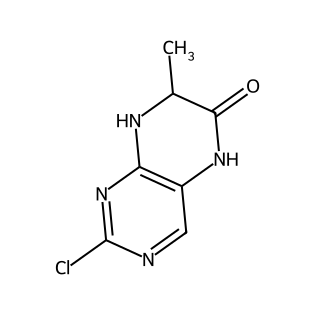 CC1Nc2nc(Cl)ncc2NC1=O